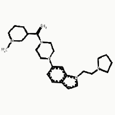 C=C(C1CCCN(C)C1)N1CCN(c2ccc3ccn(CCN4CCCC4)c3c2)CC1